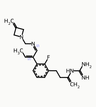 C=C1CN(C/N=C\C(=C/C)c2cccc(CCC(=C)NC(=N)N)c2F)C1